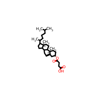 CC(C)CCCC(C)C1CCC2C3CC=C4C[C@@H](OC(=O)CCC(=O)O)CC[C@]4(C)C3CC[C@]12C